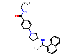 C[C@@H](N[C@@H]1CCN(c2ccc(C(=O)NCC(=O)O)cc2)C1)c1cccc2ccccc12